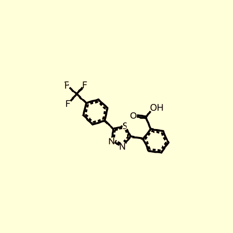 O=C(O)c1ccccc1-c1nnc(-c2ccc(C(F)(F)F)cc2)s1